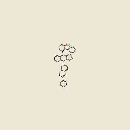 C1=CC2CC(c3c4ccccc4c(-c4cccc5oc6ccccc6c45)c4ccccc34)=CC=C2C=C1c1ccccc1